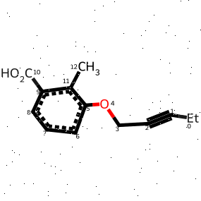 CCC#CCOc1cccc(C(=O)O)c1C